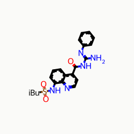 CCC(C)S(=O)(=O)Nc1cccc2c(C(=O)NC(N)=Nc3ccccc3)ccnc12